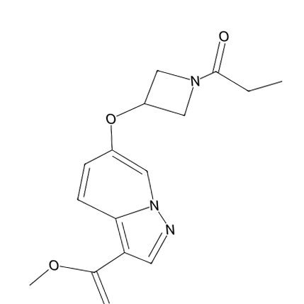 C=C(OC)c1cnn2cc(OC3CN(C(=O)CC)C3)ccc12